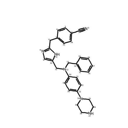 N#Cc1ccc(Cc2ncc(CN(Cc3ccccc3)c3ccc(N4CCNCC4)cc3)[nH]2)cc1